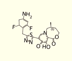 C[C@H]1CCOC(=O)c2c(O)c(=O)c(-c3nnc(CC4=C(F)C=C(N)CC4F)s3)cn2C1